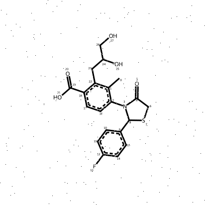 Cc1c(N2C(=O)CSC2c2ccc(F)cc2)ccc(C(=O)O)c1CC(O)CO